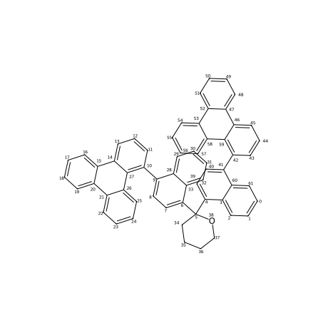 c1ccc2c(C3(c4ccc(-c5cccc6c7ccccc7c7ccccc7c56)c5ccccc45)CCCCO3)ccc(-c3cccc4c5ccccc5c5ccccc5c34)c2c1